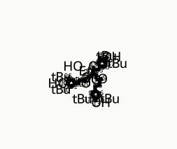 CCC(COC(=O)CCc1cc(C(C)(C)C)c(O)c(C(C)(C)C)c1)(COC(=O)CCc1cc(C(C)(C)C)c(O)c(C(C)(C)C)c1)C(Cc1cc(C(C)(C)C)c(O)c(C(C)(C)C)c1)C(=O)O